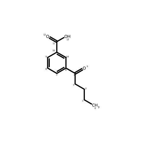 CCCCC(=O)c1cccc(C(=O)O)c1